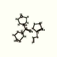 C=CCC1=NSCC1.O=C(N1CCOCC1)N1CCOCC1